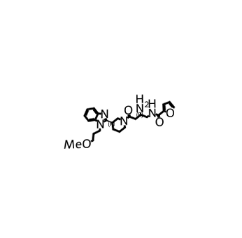 COCCCn1c([C@@H]2CCCN(C(=O)C[C@@H](N)CNC(=O)c3ccco3)C2)nc2ccccc21